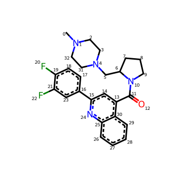 CN1CCN(CC2CCCN2C(=O)c2cc(-c3ccc(F)c(F)c3)nc3ccccc23)CC1